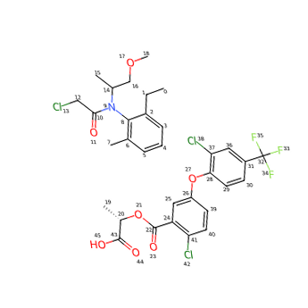 CCc1cccc(C)c1N(C(=O)CCl)C(C)COC.C[C@H](OC(=O)c1cc(Oc2ccc(C(F)(F)F)cc2Cl)ccc1Cl)C(=O)O